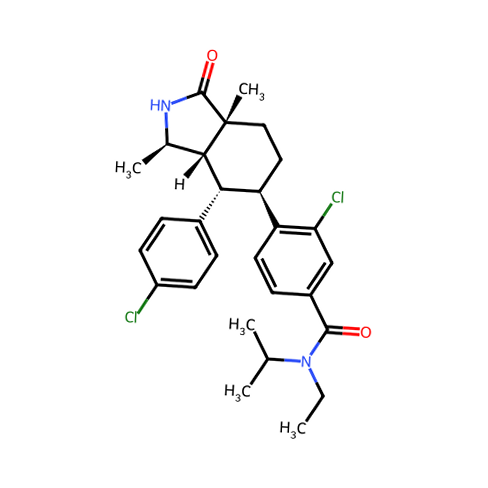 CCN(C(=O)c1ccc([C@@H]2CC[C@@]3(C)C(=O)N[C@H](C)[C@H]3[C@H]2c2ccc(Cl)cc2)c(Cl)c1)C(C)C